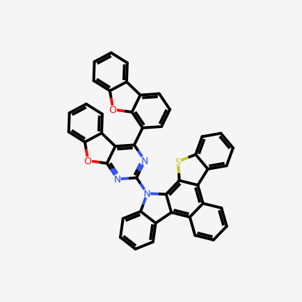 c1ccc2c(c1)oc1c(-c3nc(-n4c5ccccc5c5c6ccccc6c6c7ccccc7sc6c54)nc4oc5ccccc5c34)cccc12